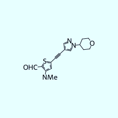 CNc1cc(C#Cc2cnn(C3CCOCC3)c2)sc1C=O